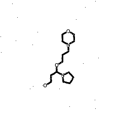 [O]CCC(OCCCN1CCOCC1)N1CCCC1